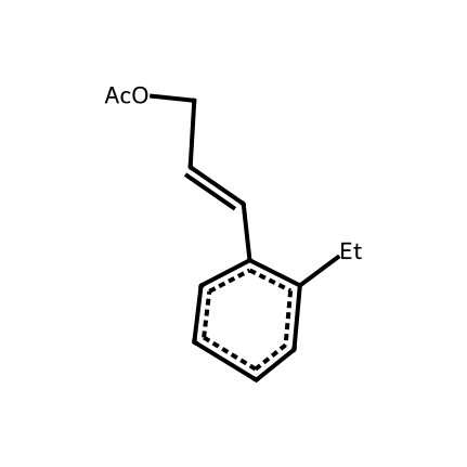 CCc1ccccc1/C=C/COC(C)=O